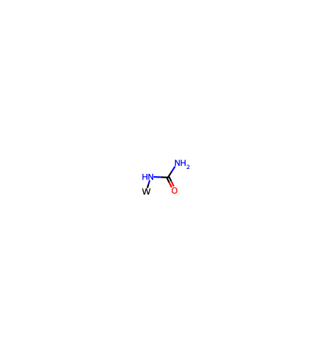 NC(=O)[NH][W]